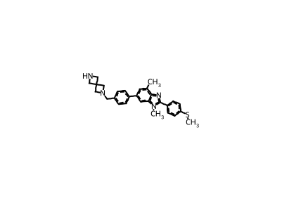 CSc1ccc(-c2nc3c(C)cc(-c4ccc(CN5CC6(CNC6)C5)cc4)cc3n2C)cc1